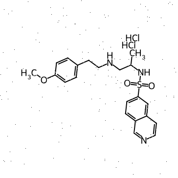 COc1ccc(CCNCC(C)NS(=O)(=O)c2ccc3cnccc3c2)cc1.Cl.Cl